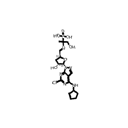 CC(CO)(OC[C@@H]1C[C@@H](O)[C@H](n2ncc3c(NC4CCCC4)nc(Cl)nc32)O1)P(=O)(O)O